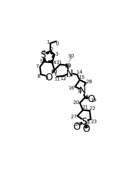 CCc1cc2c(s1)CCO[C@@]21CCN(CC2CN(C(=O)CC3CCS(=O)(=O)C3)C2)[C@@H](C)C1